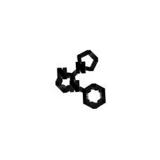 c1ccc(-n2ccnc2N2CCCC2)cc1